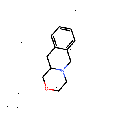 c1ccc2c(c1)CC1COCCN1C2